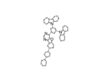 c1ccc(-c2ccc(-c3ccc4oc5c(-c6cc(-n7c8ccccc8c8ccccc87)cc(-n7c8ccccc8c8ccccc87)c6)ncnc5c4c3)cc2)cc1